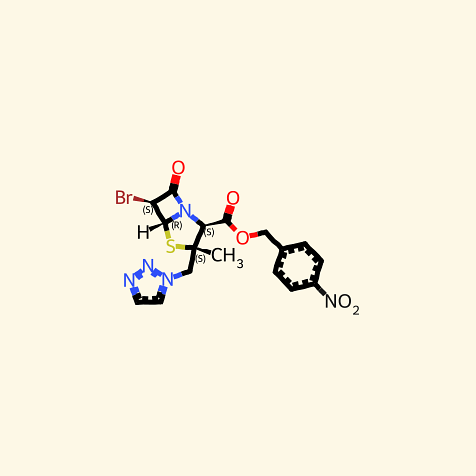 C[C@@]1(Cn2ccnn2)S[C@@H]2[C@@H](Br)C(=O)N2[C@H]1C(=O)OCc1ccc([N+](=O)[O-])cc1